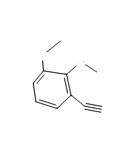 C#Cc1cccc(OC)c1OC